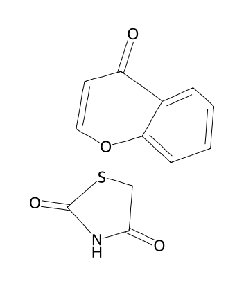 O=C1CSC(=O)N1.O=c1ccoc2ccccc12